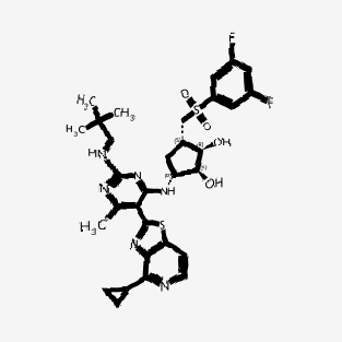 Cc1nc(NCC(C)(C)C)nc(N[C@@H]2C[C@H](CS(=O)(=O)c3cc(F)cc(F)c3)[C@@H](O)[C@H]2O)c1-c1nc2c(C3CC3)nccc2s1